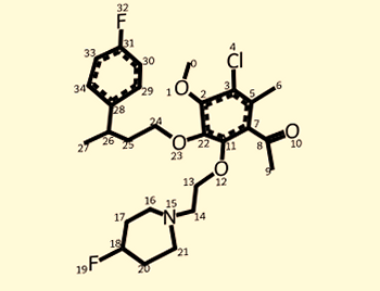 COc1c(Cl)c(C)c(C(C)=O)c(OCCN2CCC(F)CC2)c1OCCC(C)c1ccc(F)cc1